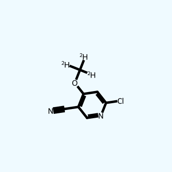 [2H]C([2H])([2H])Oc1cc(Cl)ncc1C#N